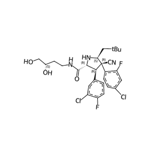 CC(C)(C)C[C@@H]1N[C@@H](C(=O)NCC[C@H](O)CO)[C@H](c2ccc(F)c(Cl)c2)[C@@]1(C#N)c1ccc(Cl)cc1F